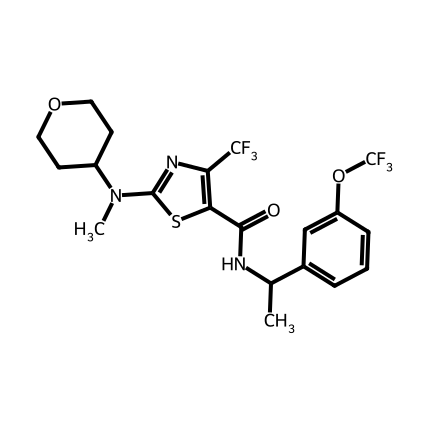 CC(NC(=O)c1sc(N(C)C2CCOCC2)nc1C(F)(F)F)c1cccc(OC(F)(F)F)c1